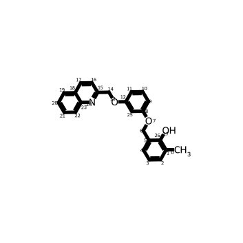 Cc1cccc(COc2cccc(OCc3ccc4ccccc4n3)c2)c1O